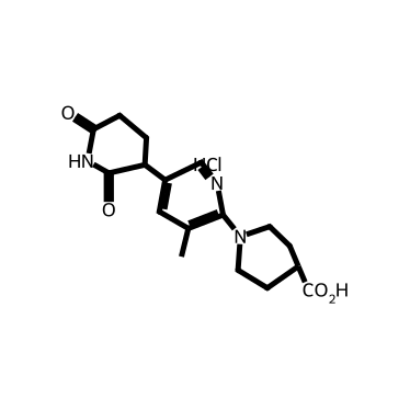 Cc1cc(C2CCC(=O)NC2=O)cnc1N1CCC(C(=O)O)CC1.Cl